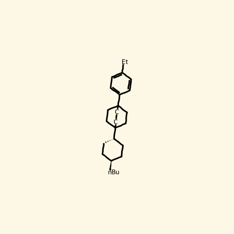 CCCC[C@H]1CC[C@H](C23CCC(c4ccc(CC)cc4)(CC2)CC3)CC1